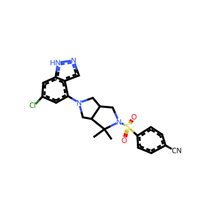 CC1(C)C2CN(c3cc(Cl)cc4[nH]ncc34)CC2CN1S(=O)(=O)c1ccc(C#N)cc1